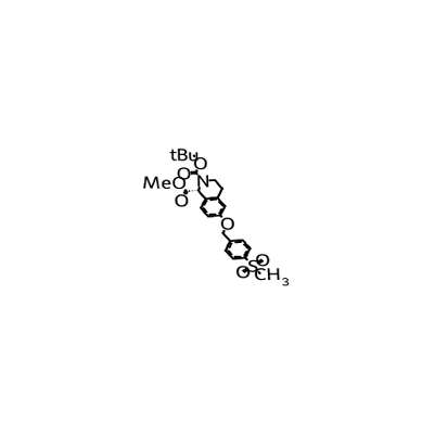 COC(=O)[C@H]1c2ccc(OCc3ccc(S(C)(=O)=O)cc3)cc2CCN1C(=O)OC(C)(C)C